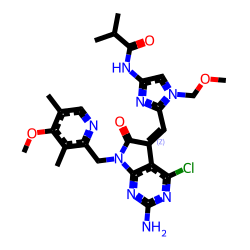 COCn1cc(NC(=O)C(C)C)nc1/C=C1\C(=O)N(Cc2ncc(C)c(OC)c2C)c2nc(N)nc(Cl)c21